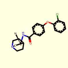 O=C(N[C@H]1CN2CCC1CC2)c1ccc(Oc2ccccc2Cl)cc1